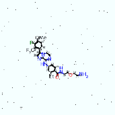 CCc1cc(Nc2nccn3c(-c4ccc(OC)c(F)c4C(F)(F)F)cnc23)ccc1C(=O)NCCOCCN